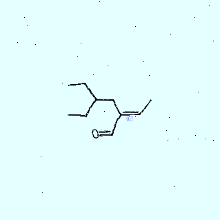 C/C=C(/C=O)CC(CC)CC